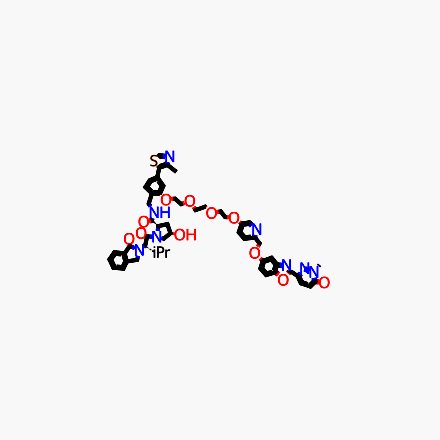 Cc1ncsc1-c1ccc(CNC(=O)[C@@H]2C[C@@H](O)CN2C(=O)[C@H](C(C)C)N2Cc3ccccc3C2=O)c(OCCOCCOCCOc2ccc(COc3ccc4oc(-c5ccc(=O)n(C)n5)nc4c3)nc2)c1